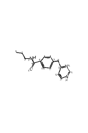 CCCNC(=O)c1ccc(Cc2ccncn2)cc1